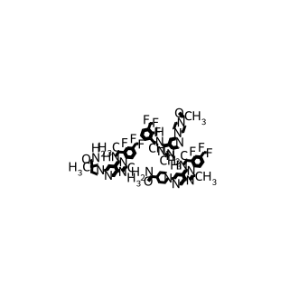 CC(=O)N1CCN(c2cc3c(N[C@H](C)c4cccc(C(F)F)c4F)nc(C)nc3cn2)CC1.Cc1nc(N[C@H](C)c2cccc(C(F)F)c2F)c2cc(N3CCC(C(N)=O)CC3)ncc2n1.Cc1nc(N[C@H](C)c2cccc(C(F)F)c2F)c2cc(N3CCC(C)(C(N)=O)C3)ncc2n1